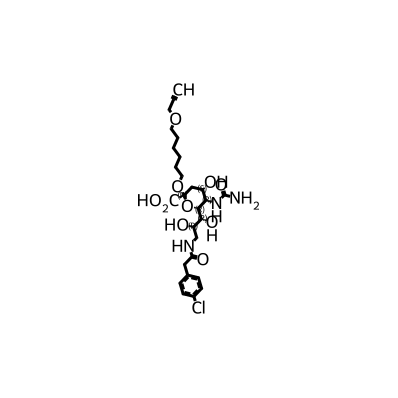 C#CCOCCCCCCO[C@]1(C(=O)O)C[C@H](O)[C@@H](NC(N)=O)[C@H]([C@H](O)[C@H](O)CNC(=O)Cc2ccc(Cl)cc2)O1